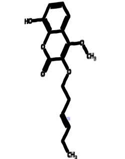 CC/C=C/CCOc1c(OC)c2cccc(O)c2oc1=O